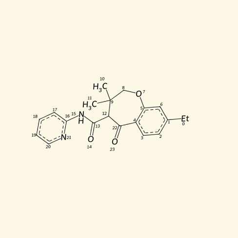 CCc1ccc2c(c1)OCC(C)(C)C(C(=O)Nc1ccccn1)C2=O